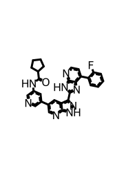 O=C(Nc1cncc(-c2cnc3[nH]nc(-c4nc5c(-c6ccccc6F)ccnc5[nH]4)c3c2)c1)C1CCCC1